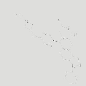 C[C@@H]1Cc2c(ccc3c2cnn3C2CCCCO2)[C@@H](c2ccc(OC3CN(C(=O)O)C3)cn2)N1CC(F)F